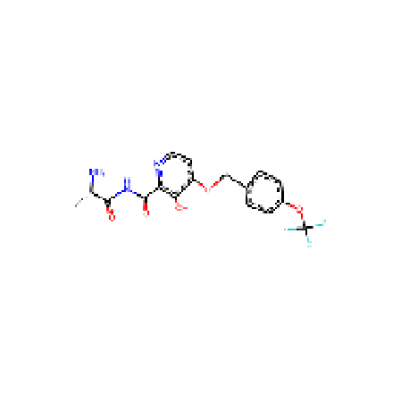 C[C@H](N)C(=O)NC(=O)c1nccc(OCc2ccc(OC(F)(F)F)cc2)c1O